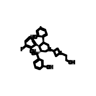 Cc1c(F)cccc1[C@H]1[C@@H](C(=O)c2cccc(O)c2)CN(C2CN(CCO)C2)C[C@@H]1c1cc[c]cc1O